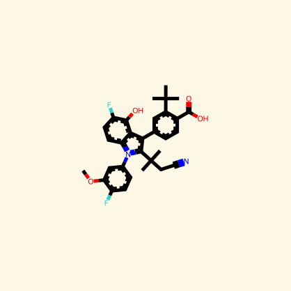 COc1cc(-n2c(C(C)(C)CC#N)c(-c3ccc(C(=O)O)c(C(C)(C)C)c3)c3c(O)c(F)ccc32)ccc1F